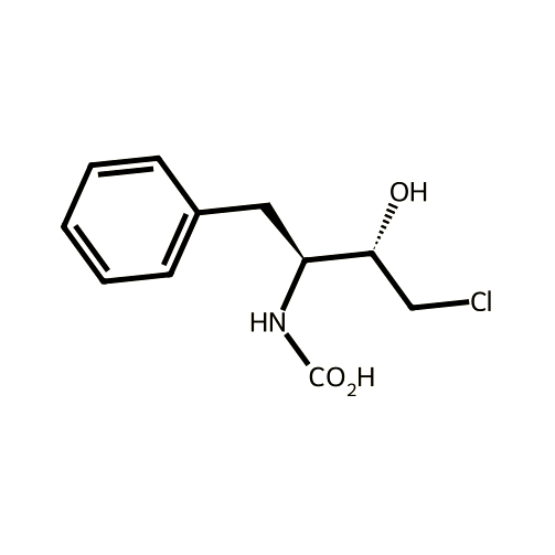 O=C(O)N[C@@H](Cc1ccccc1)[C@H](O)CCl